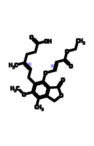 CCOC(=O)/C=C/Oc1c(C/C=C(\C)CCC(=O)O)c(OC)c(C)c2c1C(=O)OC2